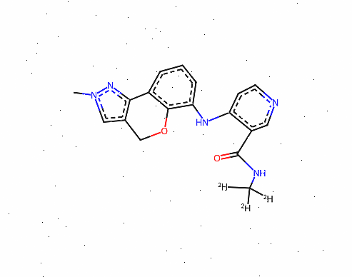 [2H]C([2H])([2H])NC(=O)c1cnccc1Nc1cccc2c1OCc1cn(C)nc1-2